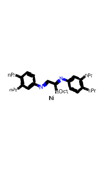 CCCCCCCCC(/C=N/c1ccc(CCC)c(CCC)c1)=N\c1ccc(CCC)c(CCC)c1.[Ni]